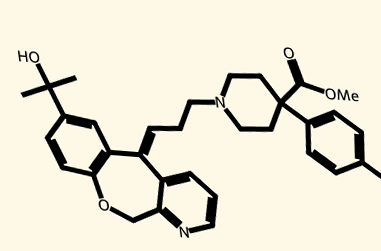 COC(=O)C1(c2ccc(Cl)cc2)CCN(CCC=C2c3cc(C(C)(C)O)ccc3OCc3ncccc32)CC1